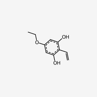 C=Cc1c(O)cc(OCC)cc1O